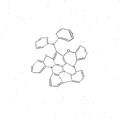 c1ccc(N(c2ccccc2)c2c3c4c5c6c2Oc2ccccc2B6c2cccc6c7cccc(c7n-5c26)B4c2ccccc2O3)cc1